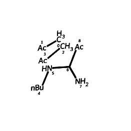 CC(C)=O.CC(C)=O.CCCCNC(N)C(C)=O